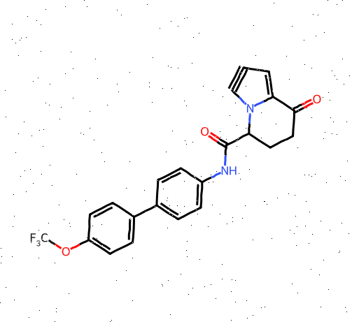 O=C1CCC(C(=O)Nc2ccc(-c3ccc(OC(F)(F)F)cc3)cc2)n2c#ccc21